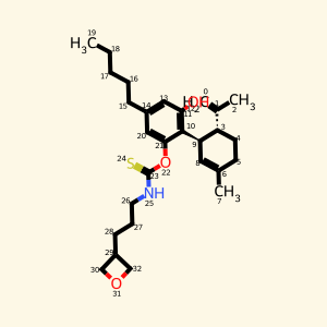 C=C(C)[C@@H]1CCC(C)=C[C@H]1c1c(O)cc(CCCCC)cc1OC(=S)NCCCC1COC1